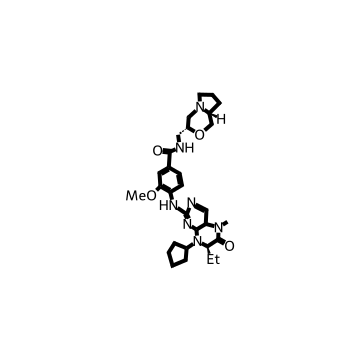 CC[C@@H]1C(=O)N(C)C2C=NC(Nc3ccc(C(=O)NC[C@@H]4CN5CCC[C@@H]5CO4)cc3OC)=NC2N1C1CCCC1